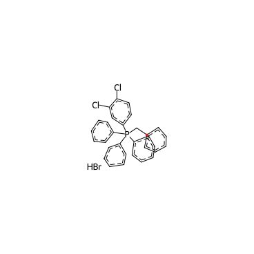 Br.Clc1ccc(P(Cc2ccccc2)(c2ccccc2)(c2ccccc2)c2ccccc2)cc1Cl